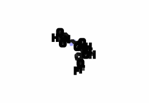 CC[C@@](O)(CNS(=O)(=O)C/C=C/CN1CCC(=O)NC1=O)c1cccc(OCC(F)F)c1